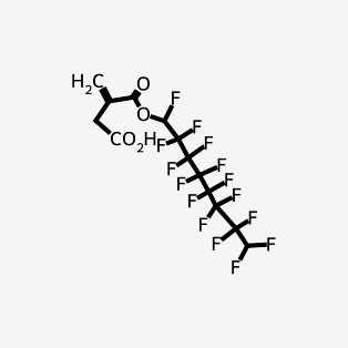 C=C(CC(=O)O)C(=O)OC(F)C(F)(F)C(F)(F)C(F)(F)C(F)(F)C(F)(F)C(F)(F)C(F)F